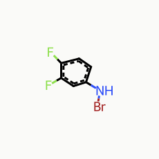 Fc1ccc(NBr)cc1F